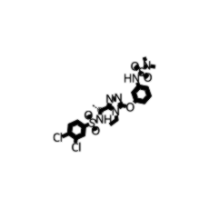 CCn1c(Oc2cccc(NS(=O)(=O)N(C)C)c2)nnc1[C@@H](C)NS(=O)(=O)c1ccc(Cl)c(Cl)c1